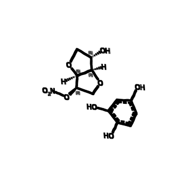 O=[N+]([O-])O[C@@H]1CO[C@H]2[C@@H]1OC[C@@H]2O.Oc1ccc(O)c(O)c1